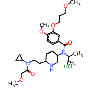 COCCCOc1cc(C(=O)N(C(C)C)[C@@H]2CC[C@H](CCN(C(=O)COC)C3CC3)NC2)ccc1OC.Cl